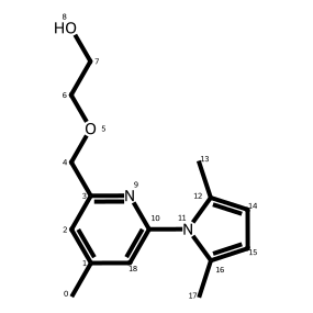 Cc1cc(COCCO)nc(-n2c(C)ccc2C)c1